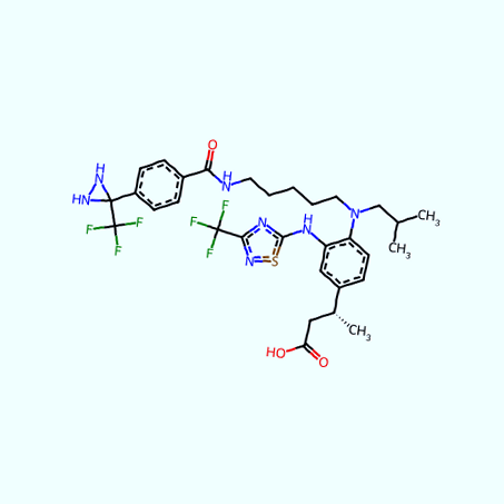 CC(C)CN(CCCCCNC(=O)c1ccc(C2(C(F)(F)F)NN2)cc1)c1ccc([C@H](C)CC(=O)O)cc1Nc1nc(C(F)(F)F)ns1